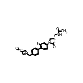 [C-]#[N+]C1CN(Cc2ccc(-c3ccc(N4C[C@H](CNC(C)=O)OC4=O)cc3F)cc2)C1